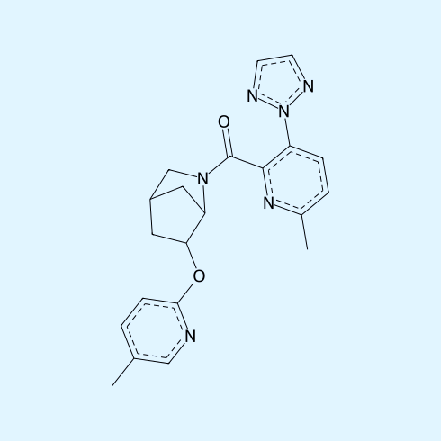 Cc1ccc(OC2CC3CC2N(C(=O)c2nc(C)ccc2-n2nccn2)C3)nc1